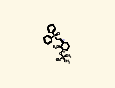 C=C1/C(=C\CP(=O)(c2ccccc2)c2ccccc2)CCC[C@H]1O[Si](C)(C)C(C)(C)C